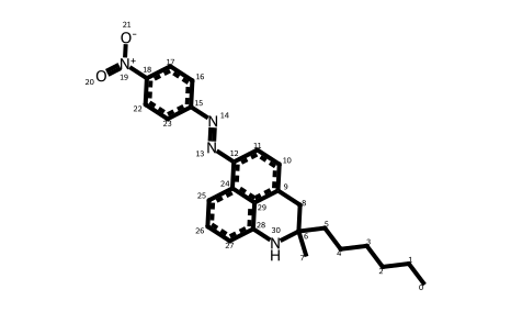 CCCCCCC1(C)Cc2ccc(N=Nc3ccc([N+](=O)[O-])cc3)c3cccc(c23)N1